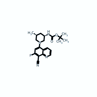 C[C@H]1C[C@@H](NC(=O)OC(C)(C)C)CN(c2cc(F)c(C#N)c3ncccc23)C1